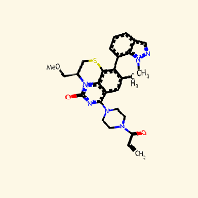 C=CC(=O)N1CCN(c2nc(=O)n3c4c(c(-c5cccc6cnn(C)c56)c(C)cc24)SC[C@@H]3COC)CC1